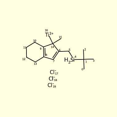 CC(C)(C)[SiH2]CC1=CC2=C(CCCC2)[C]1(C)[Ti+3].[Cl-].[Cl-].[Cl-]